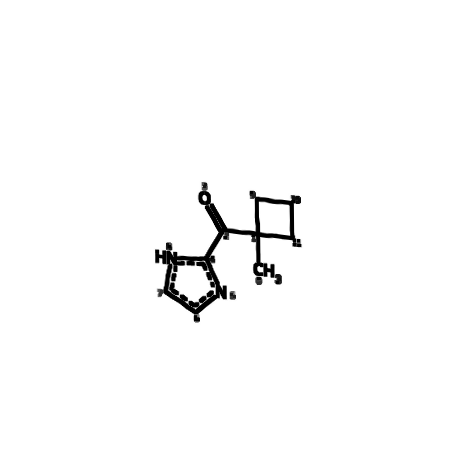 CC1(C(=O)c2ncc[nH]2)CCC1